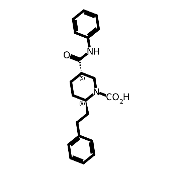 O=C(Nc1ccccc1)[C@H]1CC[C@H](CCc2ccccc2)N(C(=O)O)C1